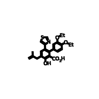 C=C(C)Cc1cc(-c2cscn2)c(-c2ccc(OCC)c(OCC)c2)c(C(=O)O)c1O